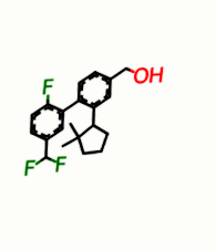 CC1(C)CCCC1c1cc(CO)ccc1-c1cc(C(F)F)ccc1F